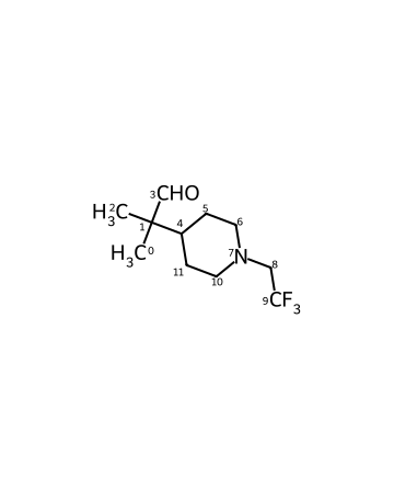 CC(C)(C=O)C1CCN(CC(F)(F)F)CC1